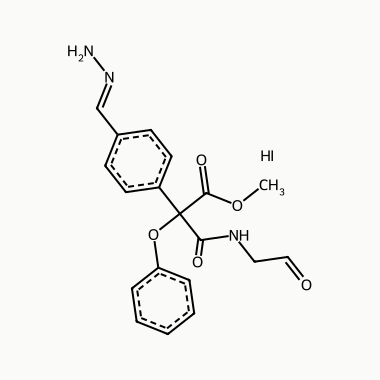 COC(=O)C(Oc1ccccc1)(C(=O)NCC=O)c1ccc(C=NN)cc1.I